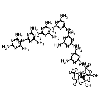 Nc1nc(N)nc(N)n1.Nc1nc(N)nc(N)n1.Nc1nc(N)nc(N)n1.Nc1nc(N)nc(N)n1.Nc1nc(N)nc(N)n1.Nc1nc(N)nc(N)n1.O=P(O)(O)OP(=O)(O)OP(=O)(O)OP(=O)(O)OP(=O)(O)O